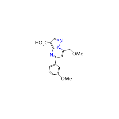 COCc1cc(-c2cccc(OC)c2)nc2c(C(=O)O)cnn12